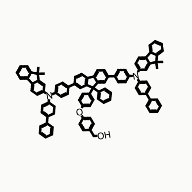 CC1(C)c2ccccc2-c2ccc(N(C3=CC=C(c4ccccc4)CC3)c3ccc(-c4ccc5c(c4)C(c4ccccc4)(c4ccc(Oc6ccc(CO)cc6)cc4)c4cc(-c6ccc(N(c7ccc(-c8ccccc8)cc7)c7ccc8c(c7)C(C)(C)c7ccccc7-8)cc6)ccc4-5)cc3)cc21